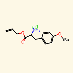 C=CCOC(=O)[C@@H](N)Cc1ccc(OC(C)(C)C)cc1.Cl